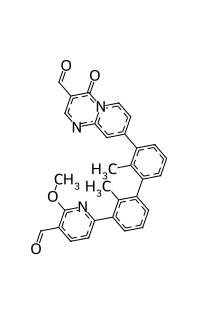 COc1nc(-c2cccc(-c3cccc(-c4ccn5c(=O)c(C=O)cnc5c4)c3C)c2C)ccc1C=O